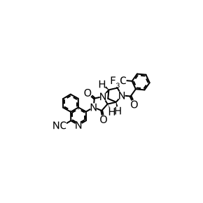 N#Cc1ncc(N2C(=O)[C@@H]3[C@@H]4C[C@@H](CN4C(=O)c4ccccc4C(F)(F)F)N3C2=O)c2ccccc12